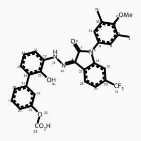 COc1c(C)cc(N2C(=O)C(=NNc3cccc(-c4cccc(OC(=O)O)c4)c3O)c3ccc(C(F)(F)F)cc32)cc1C